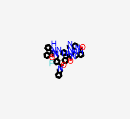 N=C1NC(c2ccccc2)(c2ccc(/N=C3/NC(c4ccccc4)(c4ccccc4)C(=O)N3Cc3cc(F)cc(C(=O)N4Cc5ccccc5C4)c3)cc2)C(=O)N1Cc1cccc(C(=O)N2CCc3nccnc3C2)c1